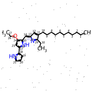 CCCCCCCCCCCC1=C/C(=C/c2[nH]c(-c3ccc[nH]3)cc2OCC)N=C1CC